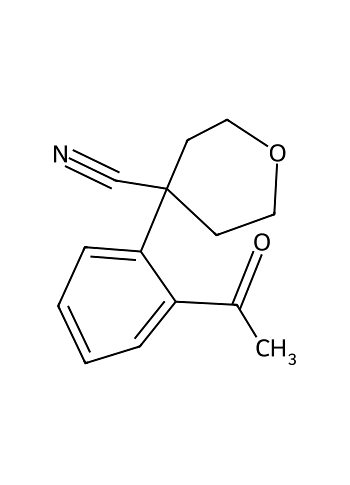 CC(=O)c1ccccc1C1(C#N)CCOCC1